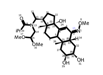 CO/N=C1\C=C2C(CC[C@]3(C)[C@@H](C(C)N(CC(OC)OC)C(=O)C(C)C)CC[C@@]23O)[C@@]2(C)C[C@H](O)[C@H](O)C[C@@H]12